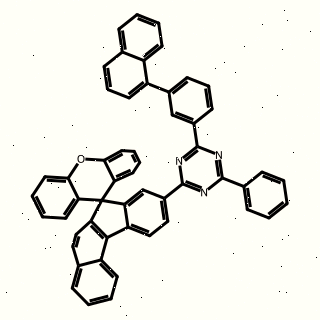 c1ccc(-c2nc(-c3cccc(-c4cccc5ccccc45)c3)nc(-c3ccc4c(c3)C3(c5ccccc5Oc5ccccc53)c3ccc5ccccc5c3-4)n2)cc1